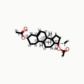 CC[C@@]1(OC(C)=O)CC[C@H]2[C@@H]3CC=C4C[C@@H](OC(C)=O)CC[C@]4(C)[C@H]3CC[C@@]21C